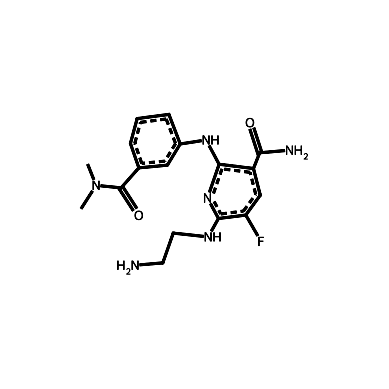 CN(C)C(=O)c1cccc(Nc2nc(NCCN)c(F)cc2C(N)=O)c1